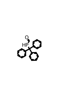 O=CPC(c1ccccc1)(c1ccccc1)c1ccccc1